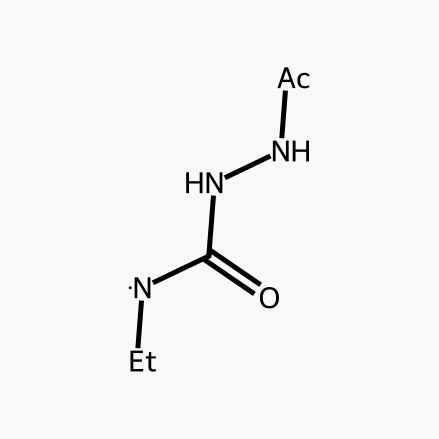 CC[N]C(=O)NNC(C)=O